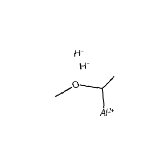 CO[CH](C)[Al+2].[H-].[H-]